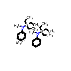 CC[B-](CC)(CC)N(C)c1ccccc1.CC[B-](CC)(CC)N(C)c1ccccc1.[Mg+2]